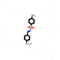 O=C(O)c1ccc(C=NS(=O)(=O)c2ccc([N+](=O)[O-])cc2)cc1